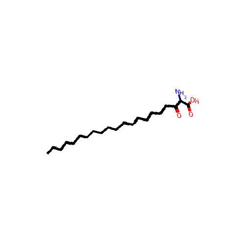 CCCCCCCCCCCCCCCCCCC(=O)C(N)C(=O)O